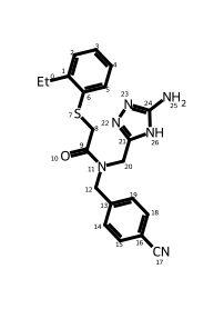 CCc1ccccc1SCC(=O)N(Cc1ccc(C#N)cc1)Cc1nnc(N)[nH]1